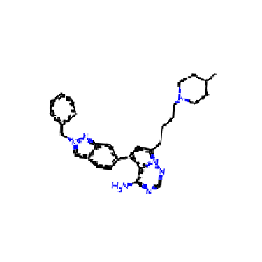 CC1CCN(CCCCc2cc(-c3ccc4cn(Cc5ccccc5)nc4c3)c3c(N)ncnn23)CC1